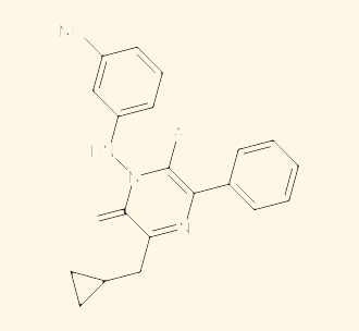 CC(=O)c1c(-c2ccccc2)nc(CC2CC2)c(=O)n1Nc1cccc(C#N)c1